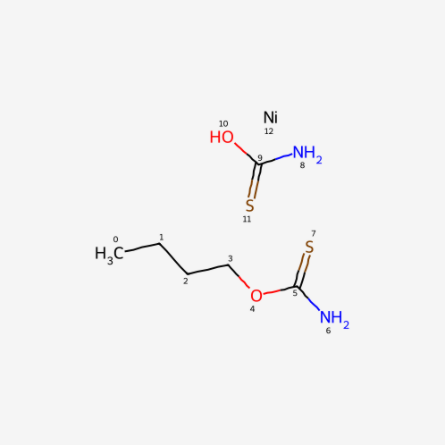 CCCCOC(N)=S.NC(O)=S.[Ni]